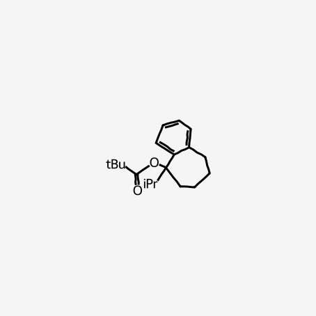 CC(C)C1(OC(=O)C(C)(C)C)CCCCc2ccccc21